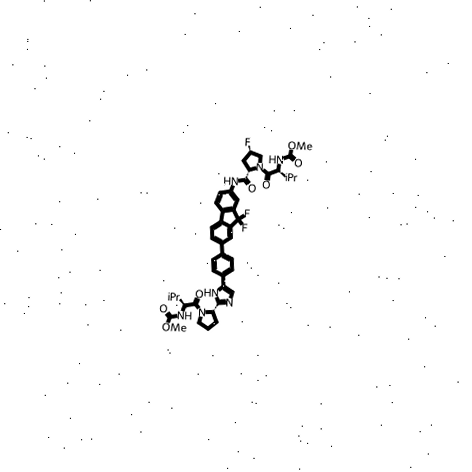 COC(=O)N[C@H](C(=O)N1C[C@@H](F)C[C@H]1C(=O)Nc1ccc2c(c1)C(F)(F)c1cc(-c3ccc(-c4cnc([C@@H]5CCCN5C(=O)[C@@H](NC(=O)OC)C(C)C)[nH]4)cc3)ccc1-2)C(C)C